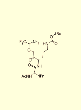 CC(=O)N[C@H](C(=O)N[C@@H](CCCNC(=O)OC(C)(C)C)C(=O)COC(C(F)(F)F)C(F)(F)F)C(C)C